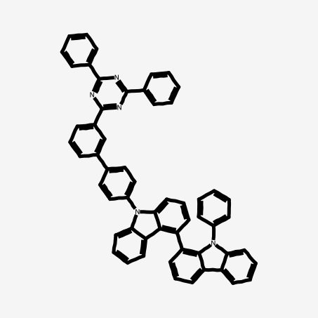 c1ccc(-c2nc(-c3ccccc3)nc(-c3cccc(-c4ccc(-n5c6ccccc6c6c(-c7cccc8c9ccccc9n(-c9ccccc9)c78)cccc65)cc4)c3)n2)cc1